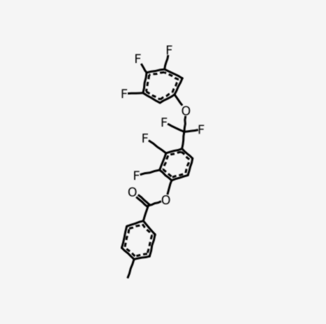 Cc1ccc(C(=O)Oc2ccc(C(F)(F)Oc3cc(F)c(F)c(F)c3)c(F)c2F)cc1